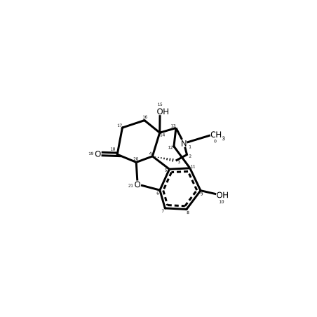 CN1CC[C@@]23c4c5ccc(O)c4CC1C2(O)CCC(=O)C3O5